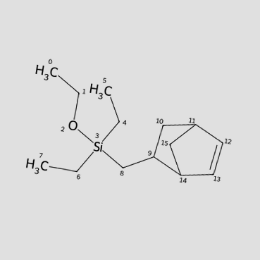 CCO[Si](CC)(CC)CC1CC2C=CC1C2